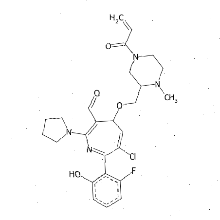 C=CC(=O)N1CCN(C)C(COC2C=C(Cl)C(c3c(O)cccc3F)=NC(N3CCCC3)=C2C=O)C1